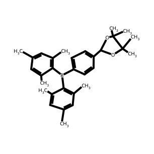 Cc1cc(C)c(B(c2ccc(C3OC(C)(C)C(C)(C)O3)cc2)c2c(C)cc(C)cc2C)c(C)c1